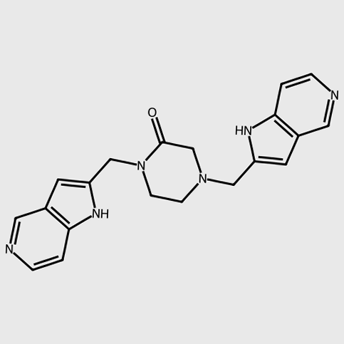 O=C1CN(Cc2cc3cnccc3[nH]2)CCN1Cc1cc2cnccc2[nH]1